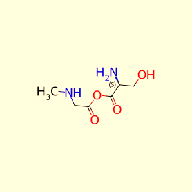 CNCC(=O)OC(=O)[C@@H](N)CO